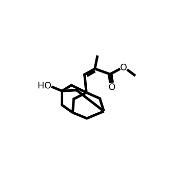 COC(=O)C(C)=CC12CC3CC(CC(O)(C3)C1)C2